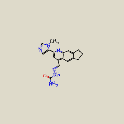 Cn1cncc1-c1cc(/C=N/NC(N)=O)c2cc3c(cc2n1)CCC3